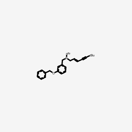 CCCN(CC=CC#CC(C)(C)C)Cc1cccc(OCc2ccccc2)c1